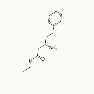 CCOC(=O)CC(N)CCc1ccccc1